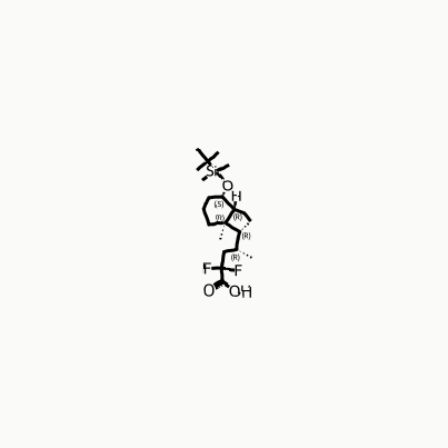 C[C@H](CC(F)(F)C(=O)O)[C@H]1CC[C@H]2[C@@H](O[Si](C)(C)C(C)(C)C)CCC[C@]12C